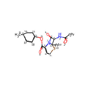 CCCC(=O)NC1C(=O)N2C(C(=O)OC3CCC(C)CC3)=CCS[C@@H]12